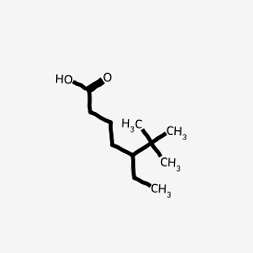 CCC(CCCC(=O)O)C(C)(C)C